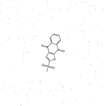 CS(=O)(=O)c1cc2c(o1)C(=O)c1ccccc1C2=O